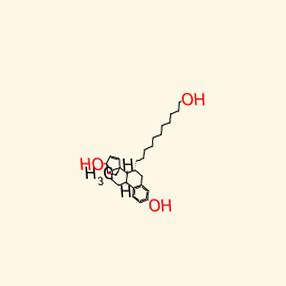 C[C@]12CC[C@@H]3c4ccc(O)cc4C[C@@H](CCCCCCCCCCCO)[C@H]3[C@@]13C=C[C@@]2(O)CC3